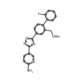 COCc1cc(-c2nc(-c3ccc(N)nc3)no2)ccc1-c1ccccc1F